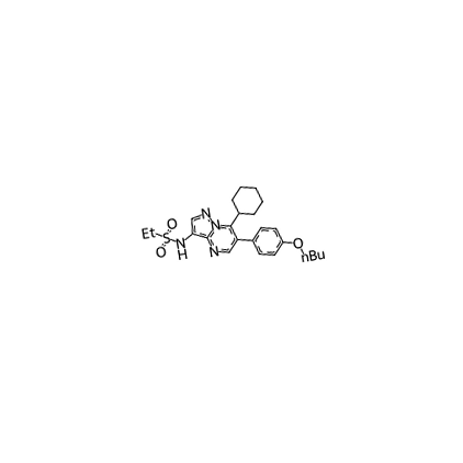 CCCCOc1ccc(-c2cnc3c(NS(=O)(=O)CC)cnn3c2C2CCCCC2)cc1